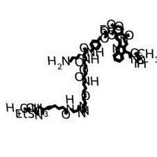 CCC(C)(C)Sc1ncc(C#CCCCC(=O)NCc2cn(CCOCCCNC(=O)COCC(=O)N[C@@H](CCCCN)C(=O)Nc3ccc(COC(=O)O[C@]4(CC)C(=O)OCc5c4cc4n(c5=O)Cc5c-4nc4ccccc4c5CCN(C(C)C)S(C)(=O)=O)cc3)nn2)cn1